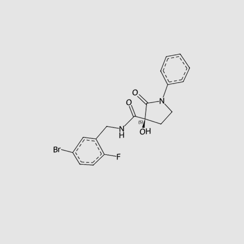 O=C(NCc1cc(Br)ccc1F)[C@@]1(O)CCN(c2ccccc2)C1=O